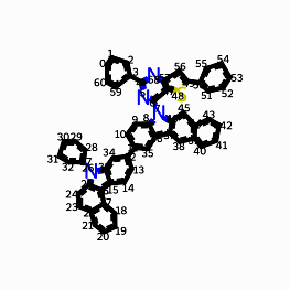 c1ccc(-c2nc(-n3c4ccc(-c5ccc6c7c8ccccc8ccc7n(-c7ccccc7)c6c5)cc4c4cc5ccccc5cc43)c3sc(-c4ccccc4)cc3n2)cc1